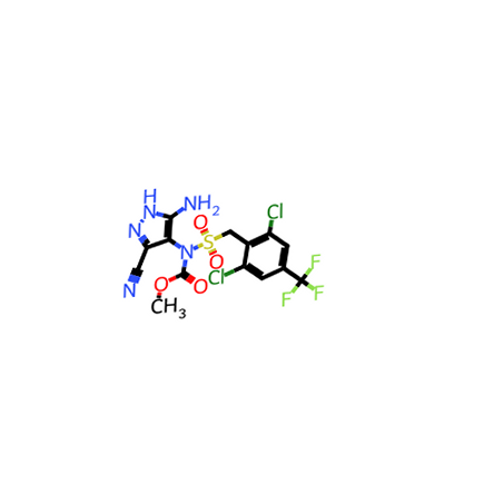 COC(=O)N(c1c(C#N)n[nH]c1N)S(=O)(=O)Cc1c(Cl)cc(C(F)(F)F)cc1Cl